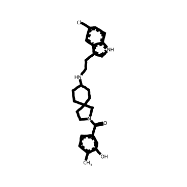 Cc1ccc(C(=O)N2CCC3(CCC(NCCc4c[nH]c5ccc(Cl)cc45)CC3)C2)cc1O